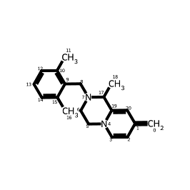 C=C1C=CN2CCN(Cc3c(C)cccc3C)C(C)C2=C1